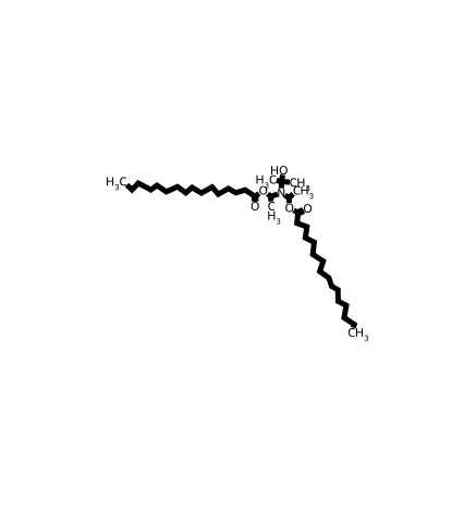 CCCCCCCCCCCCCCCC(=O)OC(C)N(C(C)OC(=O)CCCCCCCCCCCCCCC)C(C)(C)O